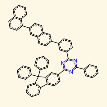 c1ccc(-c2nc(-c3cccc(-c4ccc5cc(-c6cccc7ccccc67)ccc5c4)c3)nc(-c3ccc4c(c3)C(c3ccccc3)(c3ccccc3)c3ccccc3-4)n2)cc1